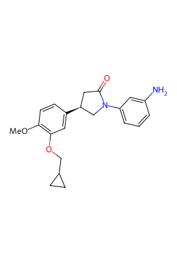 COc1ccc([C@H]2CC(=O)N(c3cccc(N)c3)C2)cc1OCC1CC1